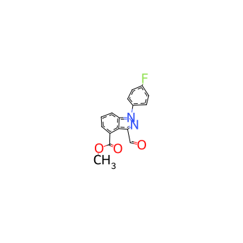 COC(=O)c1cccc2c1c(C=O)nn2-c1ccc(F)cc1